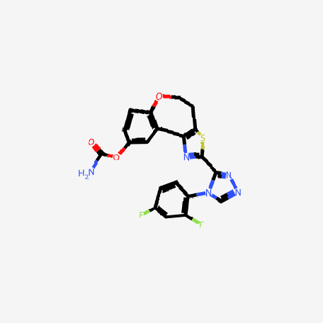 NC(=O)Oc1ccc2c(c1)-c1nc(-c3nncn3-c3ccc(F)cc3F)sc1CCO2